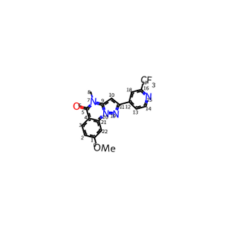 COc1ccc2c(=O)n(C)c3cc(-c4ccnc(C(F)(F)F)c4)nn3c2c1